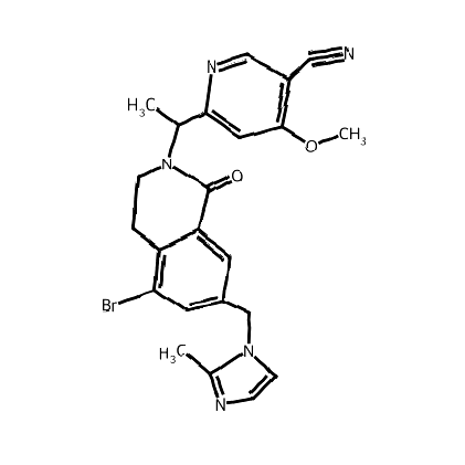 COc1cc(C(C)N2CCc3c(Br)cc(Cn4ccnc4C)cc3C2=O)ncc1C#N